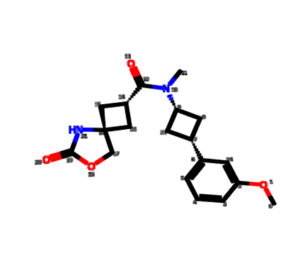 COc1cccc([C@H]2C[C@@H](N(C)C(=O)[C@H]3C[C@]4(COC(=O)N4)C3)C2)c1